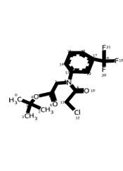 CC(C)(C)OC(=O)CN(C(=O)CCl)c1cccc(C(F)(F)F)c1